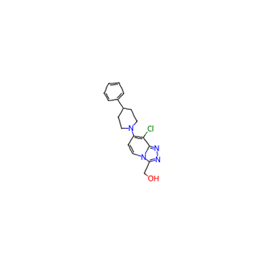 OCc1nnc2c(Cl)c(N3CCC(c4ccccc4)CC3)ccn12